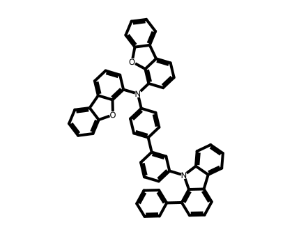 c1ccc(-c2cccc3c4ccccc4n(-c4cccc(-c5ccc(N(c6cccc7c6oc6ccccc67)c6cccc7c6oc6ccccc67)cc5)c4)c23)cc1